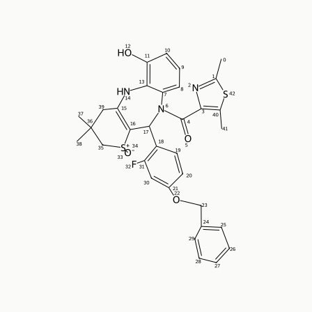 Cc1nc(C(=O)N2c3cccc(O)c3NC3=C(C2c2ccc(OCc4ccccc4)cc2F)[S+]([O-])CC(C)(C)C3)c(C)s1